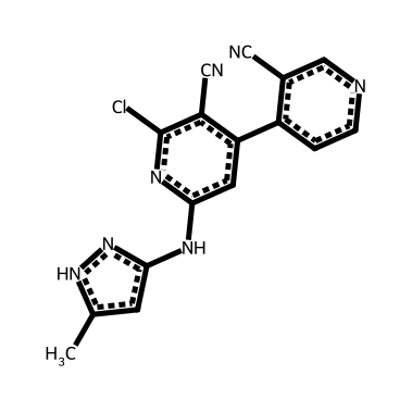 Cc1cc(Nc2cc(-c3ccncc3C#N)c(C#N)c(Cl)n2)n[nH]1